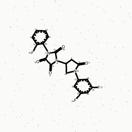 O=C1CC(N2C(=O)C(=O)N(c3ccccc3F)C2=O)CN1c1cc(F)cc(F)c1